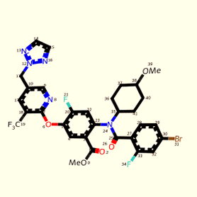 COC(=O)c1cc(Oc2ncc(Cn3nccn3)cc2C(F)(F)F)c(F)cc1N(C(=O)c1ccc(Br)cc1F)C1CCC(OC)CC1